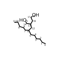 CCCCCCC(CCCCC)CC(CO)CCO